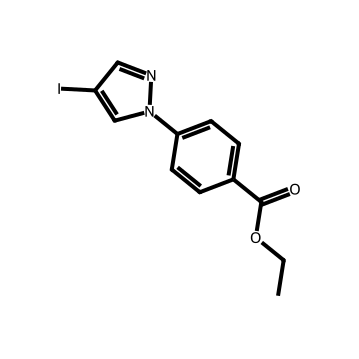 CCOC(=O)c1ccc(-n2cc(I)cn2)cc1